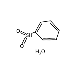 O.O=[SH](=O)c1ccccc1